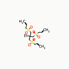 C=CCS(=O)(=O)CC(CC)(CS(=O)(=O)CC=C)CS(=O)(=O)CC=C